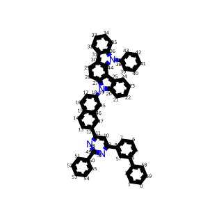 c1ccc(-c2cccc(-c3cc(-c4ccc5ccc(-n6c7ccccc7c7c6ccc6c8ccccc8n(-c8ccccc8)c67)cc5c4)nc(-c4ccccc4)n3)c2)cc1